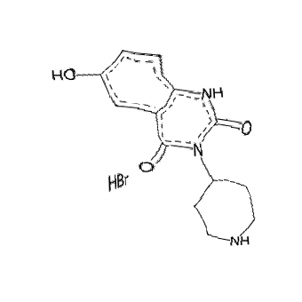 Br.O=c1[nH]c2ccc(O)cc2c(=O)n1C1CCNCC1